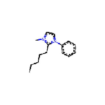 CCCCCc1n(-c2ccccc2)cc[n+]1C